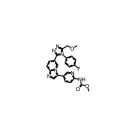 COCc1nnc(-c2ccc3ncc(-c4ccc(NC(=O)OC)nc4)n3c2)n1-c1ccc(F)cc1